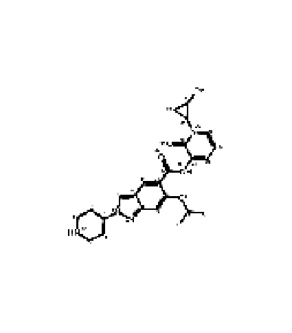 CC(C)Oc1cc2nn(C3CCNCC3)cc2cc1C(=O)Nc1cccn(C2CC2F)c1=O